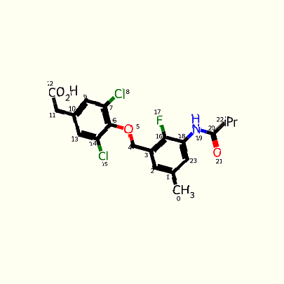 Cc1cc(COc2c(Cl)cc(CC(=O)O)cc2Cl)c(F)c(NC(=O)C(C)C)c1